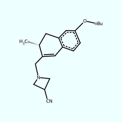 CCCCOc1ccc2c(c1)C[C@@H](C)C(CN1CC(C#N)C1)=C2